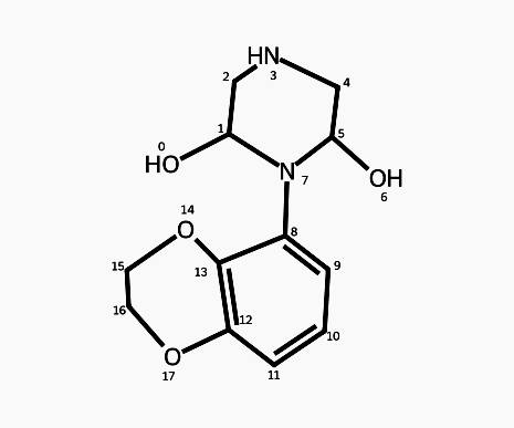 OC1CNCC(O)N1c1cccc2c1OCCO2